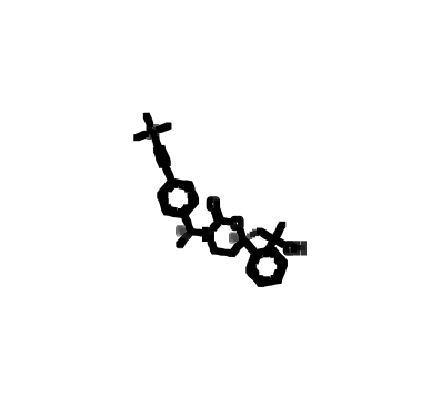 C[C@@H](c1ccc(C#C[Si](C)(C)C)cc1)N1CC[C@](CC(C)(C)O)(c2ccccc2)OC1=O